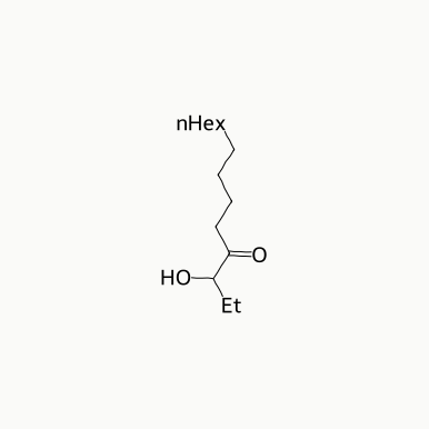 CCCCCCCCCCC(=O)C(O)CC